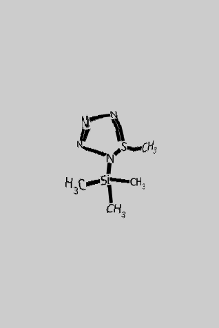 CS1=NN=NN1[Si](C)(C)C